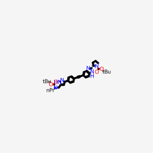 CCCN(Cc1cc(-c2ccc(C#Cc3ccc4[nH]c([C@@H]5CCCN5C(=O)OC(C)(C)C)nc4c3)cc2)n[nH]1)C(=O)OC(C)(C)C